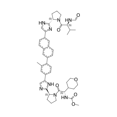 COC(=O)N[C@H](C(=O)N1CCC[C@H]1c1ncc(-c2ccc(-c3ccc4cc(-c5c[nH]c([C@@H]6CCCN6C(=O)[C@@H](NC=O)C(C)C)n5)ccc4c3)c(C)c2)[nH]1)C1CCOCC1